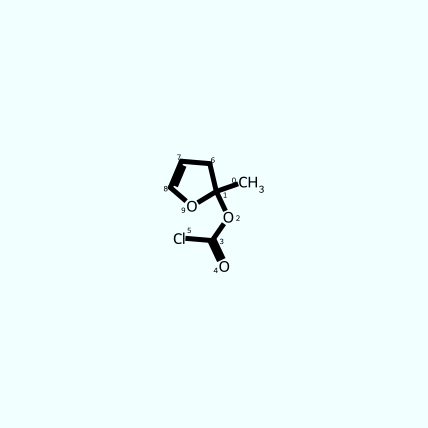 CC1(OC(=O)Cl)CC=CO1